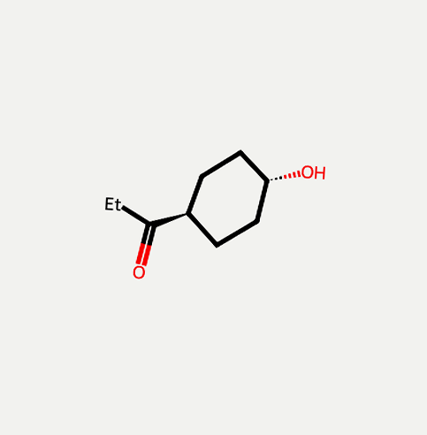 CCC(=O)[C@H]1CC[C@H](O)CC1